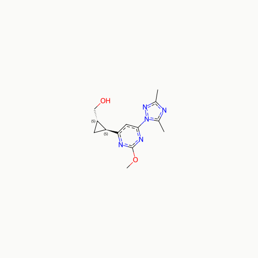 COc1nc([C@H]2C[C@@H]2CO)cc(-n2nc(C)nc2C)n1